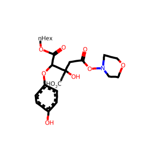 CCCCCCOC(=O)C(Oc1ccc(O)cc1)C(O)(CC(=O)ON1CCOCC1)C(=O)O